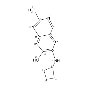 Cc1ncc2cc(NC3CCC3)c(O)cc2n1